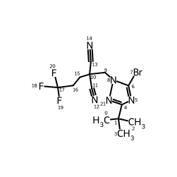 CC(C)(C)c1nc(Br)n(CC(C#N)(C#N)CCC(F)(F)F)n1